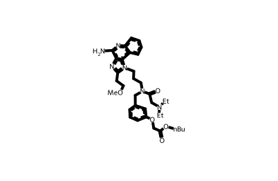 CCCCOC(=O)COc1cccc(CN(CCCn2c(CCOC)nc3c(N)nc4ccccc4c32)C(=O)CN(CC)CC)c1